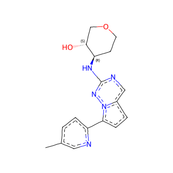 Cc1ccc(-c2ccc3cnc(N[C@@H]4CCOC[C@H]4O)nn23)nc1